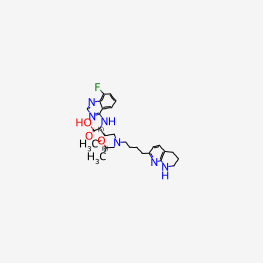 CO[C@H](C)CN(CCCCc1ccc2c(n1)NCCC2)CC[C@H](Nc1ncnc2c(F)cccc12)C(=O)O